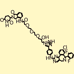 N=N/C(=C\NCC(O)COCCOCCOCC(=O)Nc1cccc2c1CN(C1CCC(=O)NC1=O)C2=O)c1ccc(Nc2ncc3c(n2)-c2ccc(Cl)cc2C(c2c(F)cccc2F)=NC3)cc1